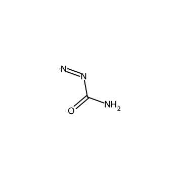 [N]=NC(N)=O